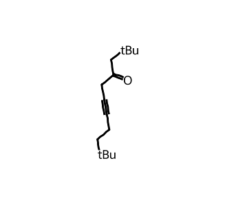 CC(C)(C)CCC#CCC(=O)CC(C)(C)C